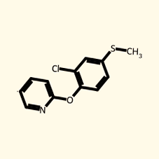 CSc1ccc(Oc2cc[c]cn2)c(Cl)c1